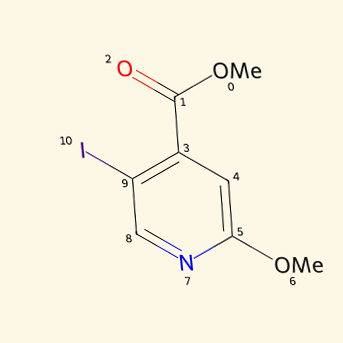 COC(=O)c1cc(OC)ncc1I